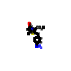 Nc1ccc(CC2=C(C(=O)O)N3C(=O)C[C@@H]3S2)cc1